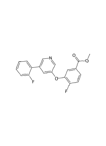 COC(=O)c1ccc(F)c(Oc2cncc(-c3ccccc3F)c2)c1